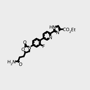 CCOC(=O)c1c[nH]c(-c2ccc(-c3ccc(N4CC(CCC(N)=O)OC4=O)cc3F)cn2)n1